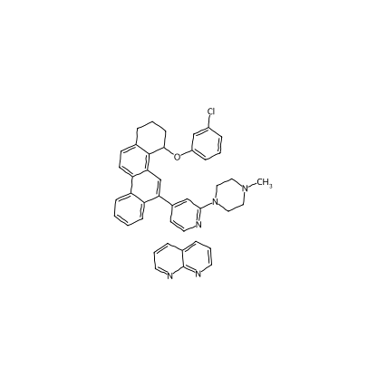 CN1CCN(c2cc(-c3cc4c5c(ccc4c4ccccc34)CCCC5Oc3cccc(Cl)c3)ccn2)CC1.c1cnc2ncccc2c1